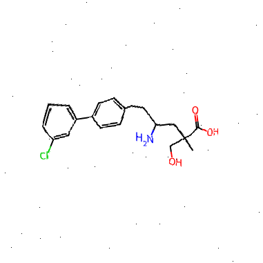 CC(CO)(CC(N)Cc1ccc(-c2cccc(Cl)c2)cc1)C(=O)O